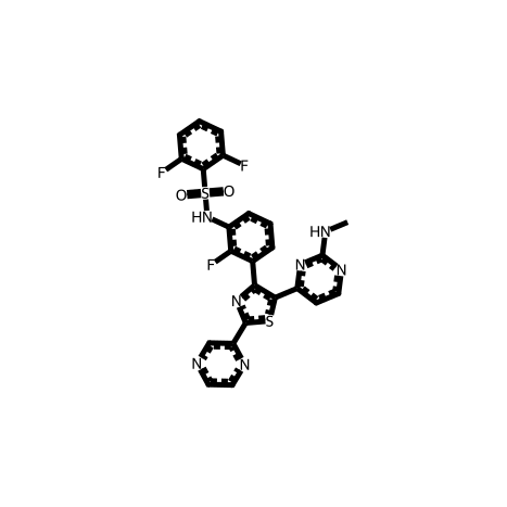 CNc1nccc(-c2sc(-c3cnccn3)nc2-c2cccc(NS(=O)(=O)c3c(F)cccc3F)c2F)n1